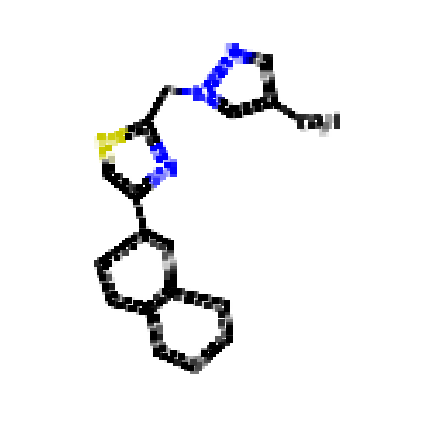 O=C(O)c1cnn(Cc2nc(-c3ccc4ccccc4c3)cs2)c1